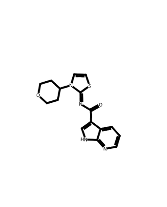 O=C(/N=c1\sccn1C1CCOCC1)c1c[nH]c2ncccc12